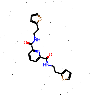 O=C(NCCc1cccs1)c1cccc(C(=O)NCCc2cccs2)n1